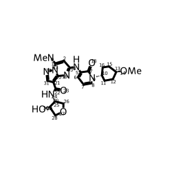 CNc1cc(Nc2cccn([C@H]3CC[C@H](OC)CC3)c2=O)nc2c(C(=O)N[C@@H]3COC[C@@H]3O)cnn12